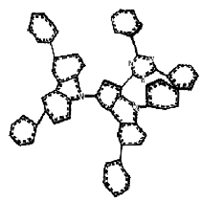 c1ccc(-c2ccc3c(c2)c2cc(-c4ccccc4)ccc2n3-c2cc(-c3nc(-c4ccccc4)nc(-c4ccccc4)n3)c3c(c2)c2cc(-c4ccccc4)ccc2n3-c2ccccc2)cc1